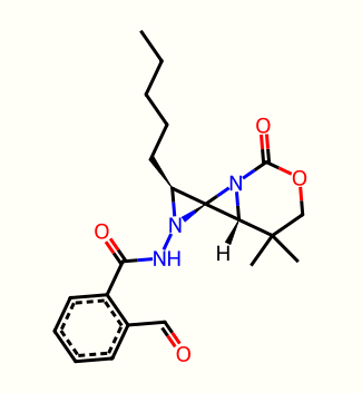 CCCCC[C@@H]1N(NC(=O)c2ccccc2C=O)[C@@]12[C@@H]1N2C(=O)OCC1(C)C